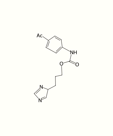 CC(=O)c1ccc(NC(=O)OCCCC2C=NC=N2)cc1